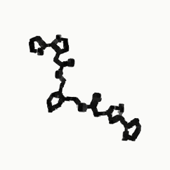 O=C(Cc1csc(-c2cccs2)c1)OCC1C2C=CC(C2)C1COC(=O)Cc1ccsc1-c1cccs1